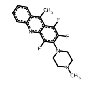 Cc1c2ccccc2nc2c(F)c(N3CCN(C)CC3)c(F)c(F)c12